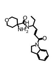 CCC(C=CC(=O)N1CCc2ccccc21)NC(=O)C1(N)CCOCC1